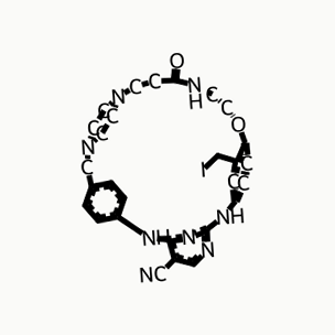 N#Cc1cnc2nc1Nc1ccc(cc1)CN1CCN(CCC(=O)NCCOc3ccc(cc3CI)N2)CC1